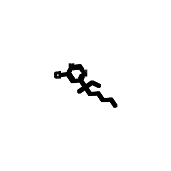 CCCCCC(C)(CC)c1cc(Cl)ncn1